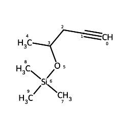 C#CCC(C)O[Si](C)(C)C